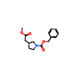 COC(=O)CC1CCN(C(=O)OCc2ccccc2)C1